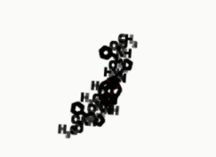 COC(=O)N[C@H](C(=O)N1CCC[C@H]1c1nc2cc(-c3cc4ccc3CCC3=CC[C@H](C[C@H]4C)C(c4ccc5[nH]c([C@@H]6CCCN6C(=O)[C@@H](NC(=O)OC)C6C=CC=CC6)nc5c4)=C3)ccc2[nH]1)c1ccccc1